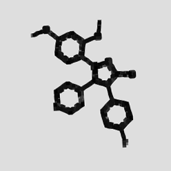 COc1ccc(-n2oc(=O)c(-c3ccc(F)cc3)c2-c2ccncc2)c(OC)c1